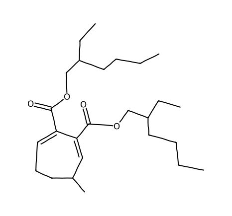 CCCCC(CC)COC(=O)C1=CCCC(C)C=C1C(=O)OCC(CC)CCCC